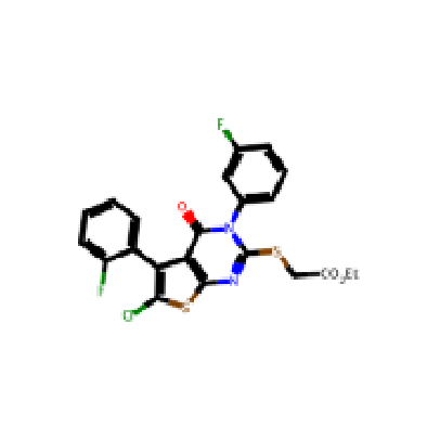 CCOC(=O)CSc1nc2sc(Cl)c(-c3ccccc3F)c2c(=O)n1-c1cccc(F)c1